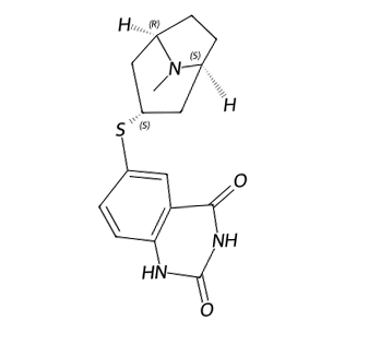 CN1[C@@H]2CC[C@H]1C[C@H](Sc1ccc3[nH]c(=O)[nH]c(=O)c3c1)C2